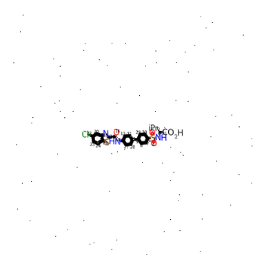 CC(C)[C@H](NS(=O)(=O)c1ccc(-c2ccc(NC(=O)c3nc4cc(Cl)ccc4s3)cc2)cc1)C(=O)O